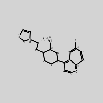 C[C@H](CC1CCC(c2ccnc3ccc(F)cc23)CC1Cl)N1C=COC1